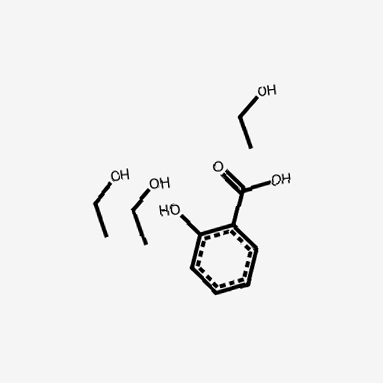 CCO.CCO.CCO.O=C(O)c1ccccc1O